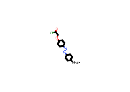 CCCCCCc1ccc(N=Nc2ccc(OCC(=O)Cl)cc2)cc1